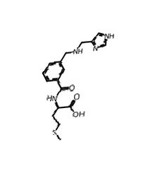 CSCCC(NC(=O)c1cccc(CNCc2c[nH]cn2)c1)C(=O)O